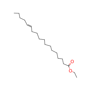 CCCCC=CCCCCCCCCCCCC(=O)OCC